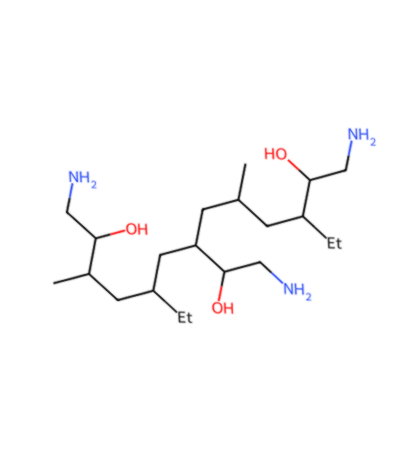 CCC(CC(C)C(O)CN)CC(CC(C)CC(CC)C(O)CN)C(O)CN